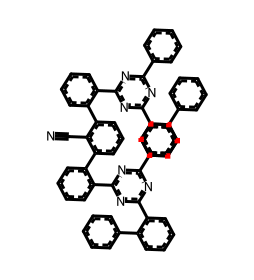 N#Cc1c(-c2ccccc2-c2nc(-c3ccccc3)nc(-c3ccccc3-c3ccccc3)n2)cccc1-c1ccccc1-c1nc(-c2ccccc2)nc(-c2ccccc2-c2ccccc2)n1